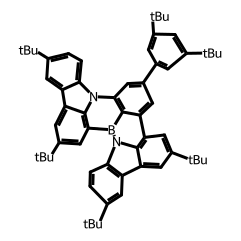 CC(C)(C)c1cc(-c2cc3c4c(c2)-n2c5ccc(C(C)(C)C)cc5c5cc(C(C)(C)C)cc(c52)B4n2c4ccc(C(C)(C)C)cc4c4cc(C(C)(C)C)cc-3c42)cc(C(C)(C)C)c1